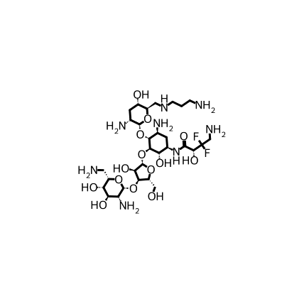 NCCCNC[C@H]1O[C@H](O[C@H]2[C@H](O[C@@H]3O[C@H](CO)[C@@H](O[C@H]4O[C@@H](CN)[C@@H](O)[C@H](O)[C@H]4N)[C@H]3O)[C@@H](O)[C@H](NC(=O)[C@@H](O)C(F)(F)CN)C[C@@H]2N)[C@H](N)C[C@@H]1O